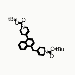 CC(C)(C)OC(=O)N1CC=C(Cc2ccc(C3=CCN(C(=O)OC(C)(C)C)CC3)c3ccccc23)CC1